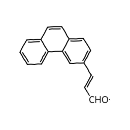 O=[C]C=Cc1ccc2ccc3ccccc3c2c1